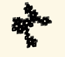 Cc1cc(OCCCc2c3n(c4c(-c5c(C)nn(C)c5C)c(Cl)ccc24)[C@H](C)CN(c2cn(CCN4CCN(C)CC4)c4ccc(-c5ncn(C)n5)cc24)C3=O)cc(C)c1Cl